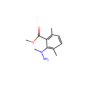 COC(=O)c1c(C)ccc(C)c1N(C)N